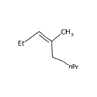 [CH2]CC=C(C)CCCC